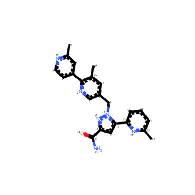 Cc1cc(-c2ncc(Cn3nc(C(N)=O)cc3-c3cccc(C)n3)cc2C)ccn1